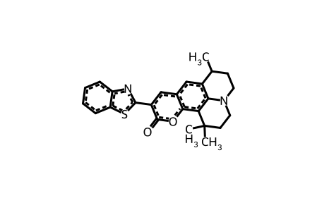 CC1CCN2CCC(C)(C)c3c2c1cc1cc(-c2nc4ccccc4s2)c(=O)oc31